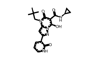 CC(C)(C)Cn1c(=O)c(C(=O)NC2CC2)c(O)n2nc(-c3ccc[nH]c3=O)cc12